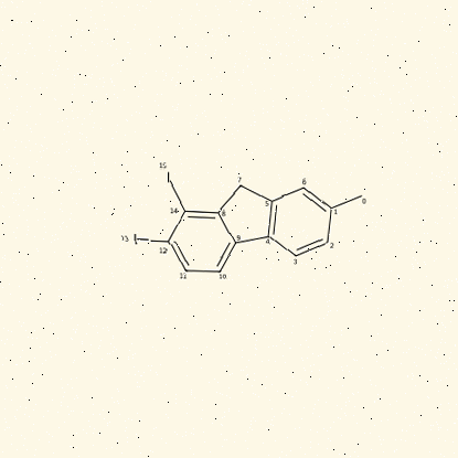 Cc1ccc2c(c1)Cc1c-2ccc(I)c1I